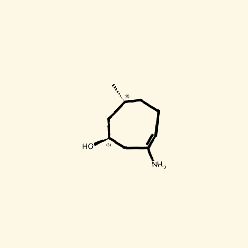 C[C@@H]1CCC=C(N)C[C@@H](O)C1